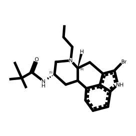 CCCN1C[C@@H](NC(=O)C(C)(C)C)CC2c3cccc4[nH]c(Br)c(c34)C[C@H]21